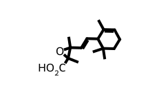 CC1=CCCC(C)(C)C1C=CC1(C)OC1(C)C(=O)O